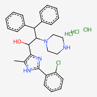 Cc1[nH]c(-c2ccccc2Cl)nc1C(O)C(C(c1ccccc1)c1ccccc1)N1CCNCC1.Cl.Cl.Cl